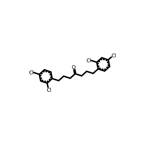 O=C(CCCc1ccc(Cl)cc1Cl)CCCc1ccc(Cl)cc1Cl